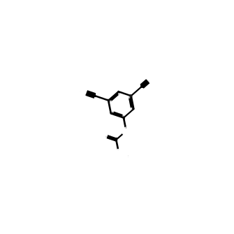 C#Cc1cc(C#C)cc(OC(C)=O)c1